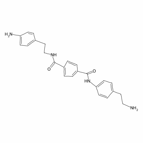 NCCc1ccc(NC(=O)c2ccc(C(=O)NCCc3ccc(N)cc3)cc2)cc1